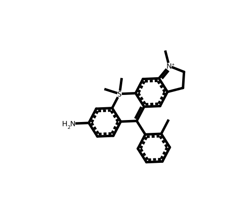 Cc1ccccc1C1=c2cc3c(cc2S(C)(C)c2cc(N)ccc21)=[N+](C)CC3